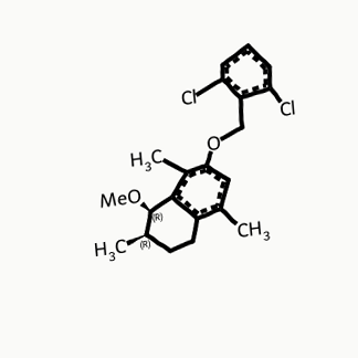 CO[C@H]1c2c(C)c(OCc3c(Cl)cccc3Cl)cc(C)c2CC[C@H]1C